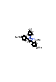 COc1ccc(C2=CC(c3ccc(OC)cc3OC)N(c3ccc(C(C)C)cc3)N2)c(OC)c1